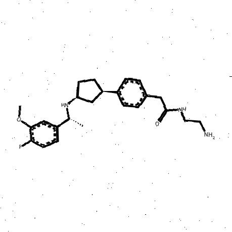 COc1cc([C@@H](C)N[C@H]2CC[C@@H](c3ccc(CC(=O)NCCN)cc3)C2)ccc1F